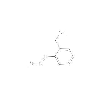 NCc1ccccc1N=NN